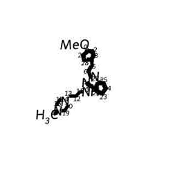 COc1ccc(C=Cc2nc(NCCCN3CCN(C)CC3)c3ccccc3n2)cc1